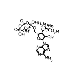 NCC(=O)O.Nc1ncnc2c1ncn2[C@@H]1O[C@H](COP(=O)(O)OP(=O)(O)OP(=O)(O)O)[C@@H](O)[C@H]1O.[Mn]